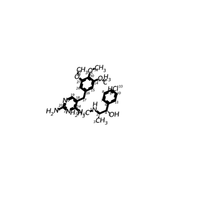 CN[C@@H](C)[C@@H](O)c1ccccc1.COc1cc(Cc2cnc(N)nc2N)cc(OC)c1OC.Cl